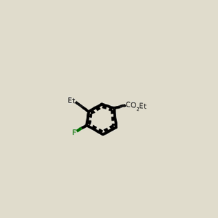 CCOC(=O)c1ccc(F)c(CC)c1